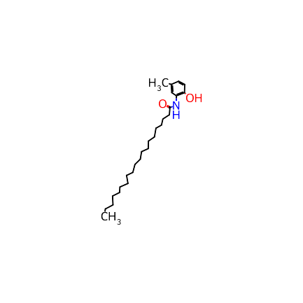 CCCCCCCCCCCCCCCCCCCC(=O)Nc1cc(C)ccc1O